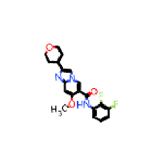 COc1cc2nc(C3CCOCC3)cn2cc1C(=O)Nc1cccc(F)c1F